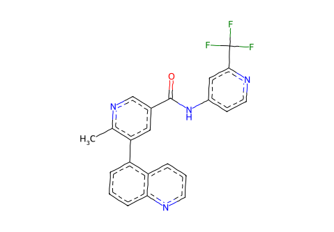 Cc1ncc(C(=O)Nc2ccnc(C(F)(F)F)c2)cc1-c1cccc2ncccc12